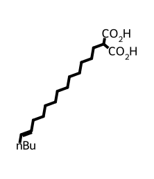 CCCCC=CCCCCCCCCCCCC(C(=O)O)C(=O)O